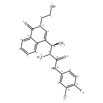 C[C@H](c1cn(CCO)c(=O)c2ccccc12)N(C)C(=O)Nc1ccc(F)c(Cl)c1